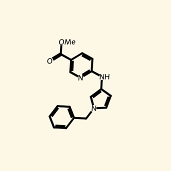 COC(=O)c1ccc(Nc2ccn(Cc3ccccc3)c2)nc1